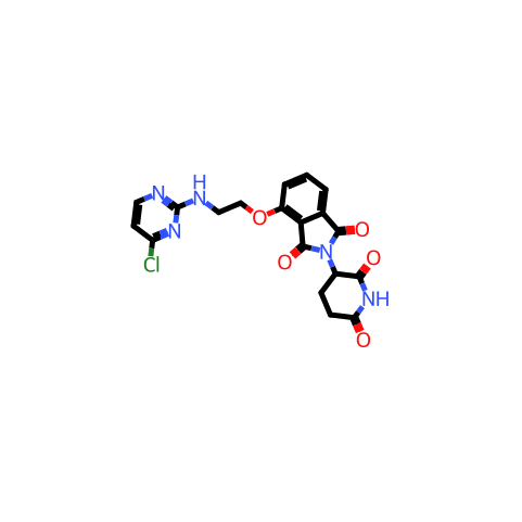 O=C1CCC(N2C(=O)c3cccc(OCCNc4nccc(Cl)n4)c3C2=O)C(=O)N1